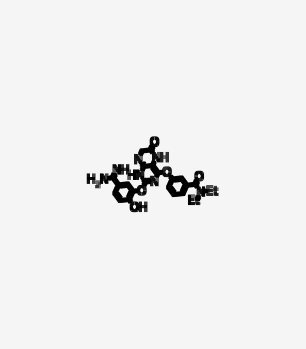 CCN(CC)C(=O)c1cccc(OC2=C3NC(=O)CN=C3NC(Oc3cc(C(=N)N)ccc3O)=N2)c1